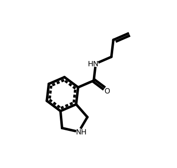 C=CCNC(=O)c1cccc2c1CNC2